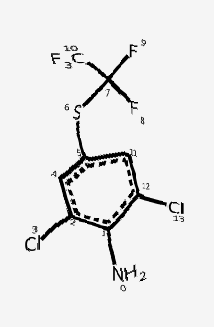 Nc1c(Cl)cc(SC(F)(F)C(F)(F)F)cc1Cl